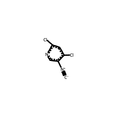 [C-]#[N+]c1cnc(Cl)cc1Cl